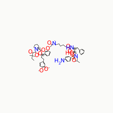 CCC(C)(C)C(=O)C(=O)N1CCCC[C@H]1C(=O)O[C@H](CCc1ccc(OC)c(OC)c1)c1cccc(OCC(=O)N(C)CCCCCOC(=O)N[C@@H](Cc2ccccc2)[C@H](O)CN(CC(C)C)S(=O)(=O)c2ccc(N)cc2)c1